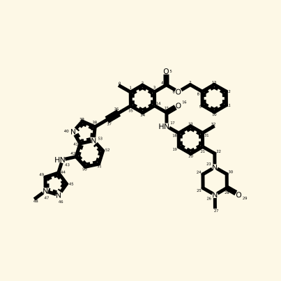 Cc1cc(C(=O)OCc2ccccc2)c(C(=O)Nc2ccc(CN3CCN(C)C(=O)C3)c(C)c2)cc1C#Cc1cnc2c(Nc3cnn(C)c3)cccn12